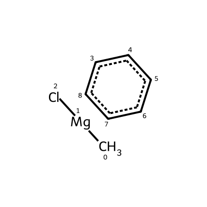 [CH3][Mg][Cl].c1ccccc1